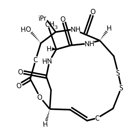 CC(C)C1NC(=O)[C@H]2CSSCC/C=C/[C@H](CC(=O)N[C@H](C)C(=O)N2)OC(=O)C[C@@H]1O